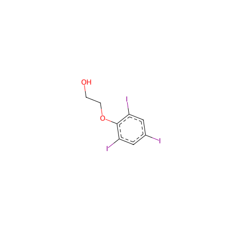 OCCOc1c(I)cc(I)cc1I